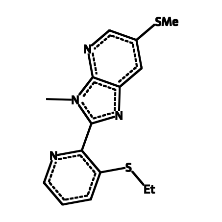 CCSc1cccnc1-c1nc2cc(SC)cnc2n1C